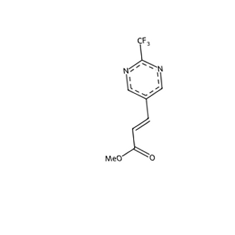 COC(=O)/C=C/c1cnc(C(F)(F)F)nc1